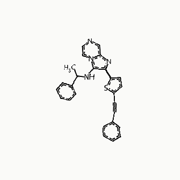 CC(Nc1c(-c2ccc(C#Cc3ccccc3)s2)nc2cnccn12)c1ccccc1